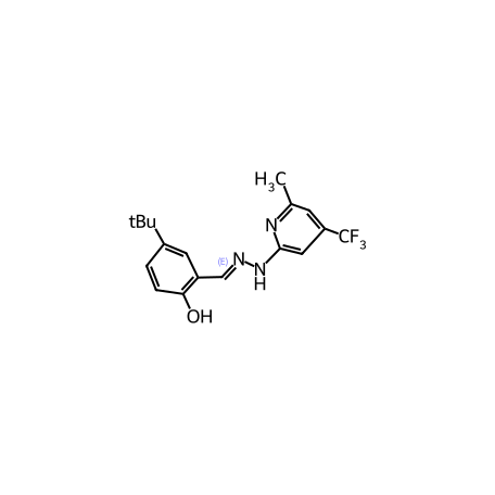 Cc1cc(C(F)(F)F)cc(N/N=C/c2cc(C(C)(C)C)ccc2O)n1